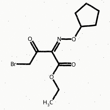 CCOC(=O)C(=NOC1CCCC1)C(=O)CBr